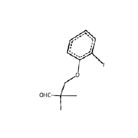 CC(C)(C=O)COc1ccccc1I